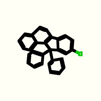 Clc1ccc2c(c1)C(c1ccccc1)(c1ccccc1)c1c-2ccc2ccccc12